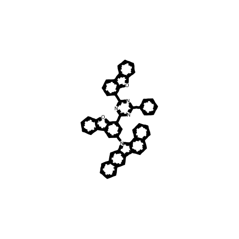 c1ccc(-c2nc(-c3cccc4c3oc3ccccc34)nc(-c3cc(-n4c5cc6ccccc6cc5c5ccc6ccccc6c54)cc4c3oc3ccccc34)n2)cc1